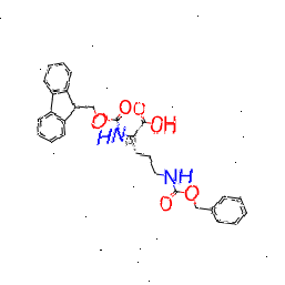 O=C(NCCC[C@H](NC(=O)OCC1c2ccccc2-c2ccccc21)C(=O)O)OCc1ccccc1